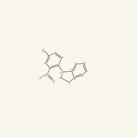 O=[N+]([O-])c1cc(Cl)ccc1N1CCc2ccccc21